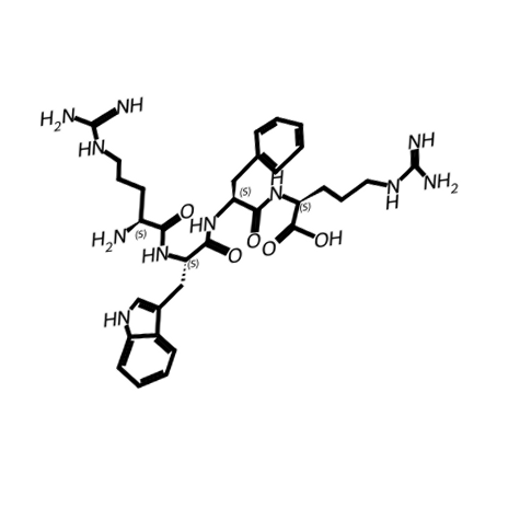 N=C(N)NCCC[C@H](NC(=O)[C@H](Cc1ccccc1)NC(=O)[C@H](Cc1c[nH]c2ccccc12)NC(=O)[C@@H](N)CCCNC(=N)N)C(=O)O